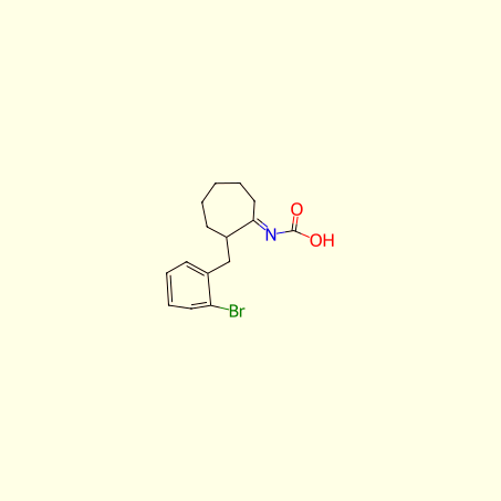 O=C(O)N=C1CCCCCC1Cc1ccccc1Br